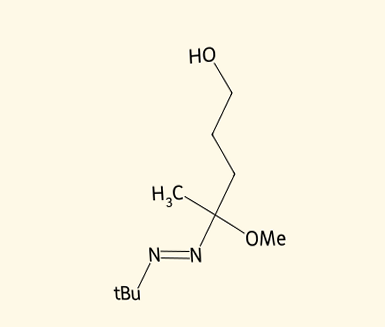 COC(C)(CCCO)N=NC(C)(C)C